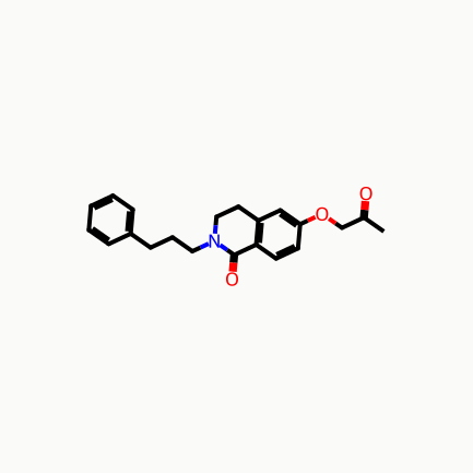 CC(=O)COc1ccc2c(c1)CCN(CCCc1ccccc1)C2=O